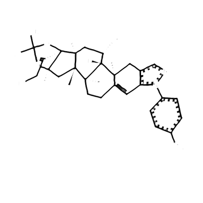 CC1(C)O[C@@H]2C[C@H]3[C@@H]4CCC5=Cc6c(cnn6-c6ccc(P)cc6)C[C@]5(C)[C@@]4(F)[C@@H](O)C[C@]3(C)[C@]2(C(=O)CO)O1